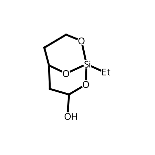 CC[Si]12OCCC(CC(O)O1)O2